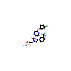 NS(=O)(=O)CCN1C[C@H](c2cccc(C(F)(F)F)c2)N(c2cnc(Oc3ccc(Cl)cc3)cn2)C1=O